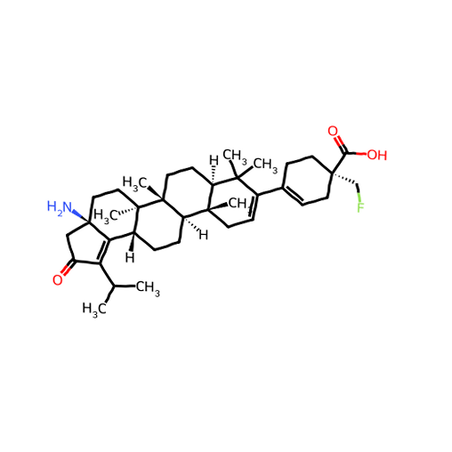 CC(C)C1=C2[C@H]3CC[C@@H]4[C@@]5(C)CC=C(C6=CC[C@](CF)(C(=O)O)CC6)C(C)(C)[C@@H]5CC[C@@]4(C)[C@]3(C)CC[C@@]2(N)CC1=O